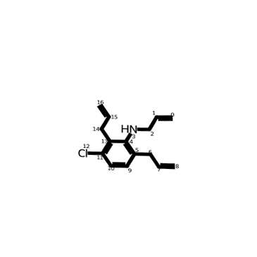 C=CCNc1c(CC=C)ccc(Cl)c1CC=C